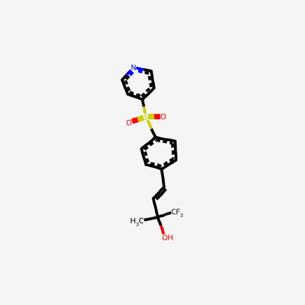 CC(O)(C=Cc1ccc(S(=O)(=O)c2ccncc2)cc1)C(F)(F)F